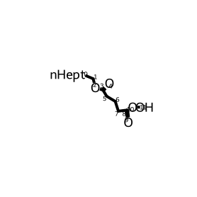 CCCCCCCCOC(=O)CCCC(=O)OO